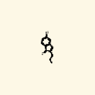 CCCC1=Cc2cc(Cl)ccc2C1=O